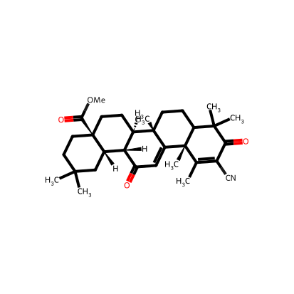 COC(=O)[C@]12CCC(C)(C)C[C@H]1[C@H]1C(=O)C=C3[C@@]4(C)C(C)=C(C#N)C(=O)C(C)(C)C4CC[C@@]3(C)[C@]1(C)CC2